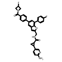 Nc1ccc(C2CC2C(=O)NCc2cc3cc(-c4ccc(C(=O)N5CC(F)C5)cc4)cc(-c4ccc(F)cc4)c3o2)cn1